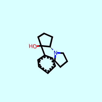 OC1(c2ccccc2)CCC[C@@H]1N1CCCC1